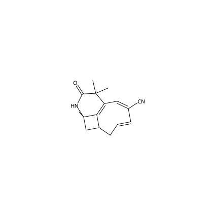 CC12CC3C/C=C/C(C#N)=C\C(=C31)C(C)(C)C(=O)N2